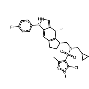 Cc1nn(C)c(Cl)c1S(=O)(=O)N(CC1CC1)C[C@H]1CCC2=C1[C@@H](C)C1=CNN(c3ccc(F)cc3)C1=C2